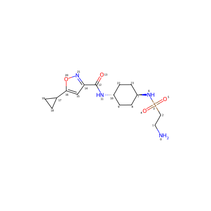 NCCS(=O)(=O)N[C@H]1CC[C@H](NC(=O)c2cc(C3CC3)on2)CC1